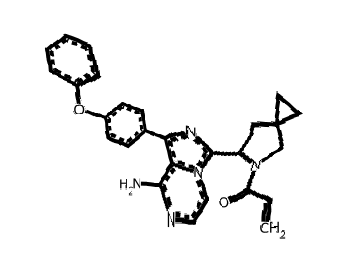 C=CC(=O)N1CC2(CC2)CC1c1nc(-c2ccc(Oc3ccccc3)cc2)c2c(N)nccn12